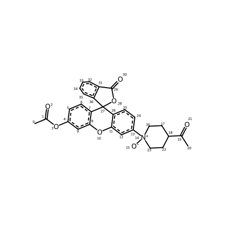 CC(=O)Oc1ccc2c(c1)Oc1cc([N+]3([O-])CCC(C(C)=O)CC3)ccc1C21OC(=O)c2ccccc21